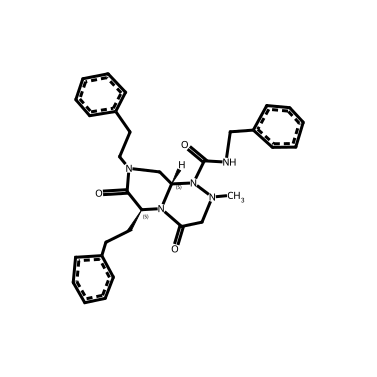 CN1CC(=O)N2[C@@H](CCc3ccccc3)C(=O)N(CCc3ccccc3)C[C@@H]2N1C(=O)NCc1ccccc1